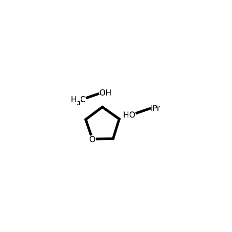 C1CCOC1.CC(C)O.CO